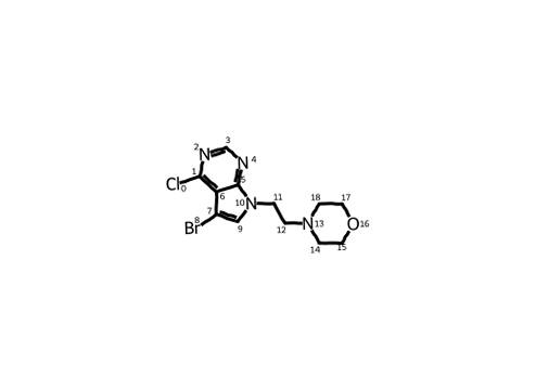 Clc1ncnc2c1c(Br)cn2CCN1CCOCC1